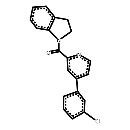 O=C(c1cc(-c2cccc(Cl)c2)ccn1)N1CCc2ccccc21